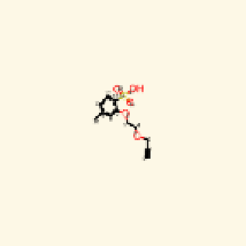 C#CCOCCOc1cc(C)ccc1S(=O)(=O)O